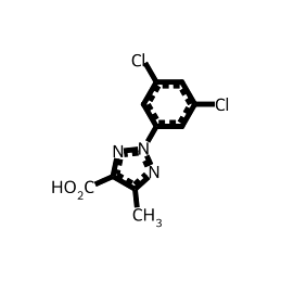 Cc1nn(-c2cc(Cl)cc(Cl)c2)nc1C(=O)O